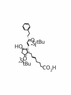 CC(C)(C)[Si](C)(C)O[C@H](C=C[C@@H]1[C@@H](CC=CCCCC(=O)O)[C@@H](O[Si](C)(C)C(C)(C)C)C[C@H]1O)CCc1ccccc1